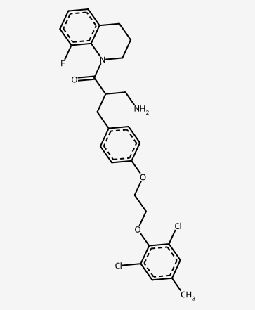 Cc1cc(Cl)c(OCCOc2ccc(CC(CN)C(=O)N3CCCc4cccc(F)c43)cc2)c(Cl)c1